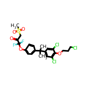 CC(C)(c1ccc(OC(F)(F)C(=O)CS(C)(=O)=O)cc1)c1cc(Cl)c(OCCCCl)c(Cl)c1